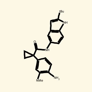 CNc1cc(C2(C(=O)Nc3ccc4[nH]c(C(C)(C)C)cc4c3)CC2)ccc1N